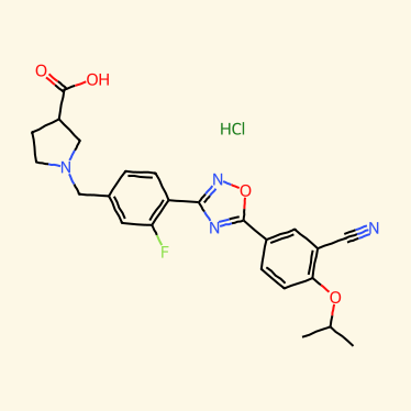 CC(C)Oc1ccc(-c2nc(-c3ccc(CN4CCC(C(=O)O)C4)cc3F)no2)cc1C#N.Cl